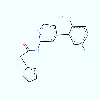 COc1ccc(F)cc1-c1ccnc(NC(=O)[C@@H](C)c2cccs2)c1